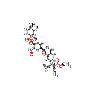 COC(=O)[C@@H](C)[C@H](c1ccc2c(c1)O[C@H](c1ccc(OS(=O)(=O)c3ccc(C)cc3)c(C=O)c1)CC2)C1CC1